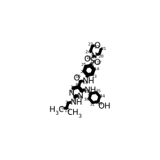 CC(C)CNc1ncc(C(=O)Nc2ccc(S(=O)(=O)N3CCOCC3)cc2)c(NC2CCC(O)CC2)n1